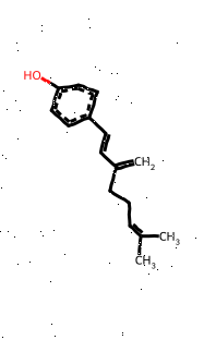 C=C(C=Cc1ccc(O)cc1)CCC=C(C)C